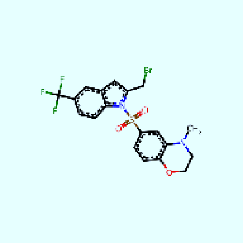 CN1CCOc2ccc(S(=O)(=O)n3c(CBr)cc4cc(C(F)(F)F)ccc43)cc21